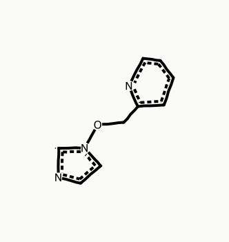 [c]1nccn1OCc1ccccn1